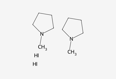 CN1CCCC1.CN1CCCC1.I.I